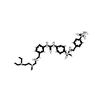 CCN(CC)CCN(C)CNCc1cccc(NC(=O)Nc2ccc([SH](C)(=O)NCc3ccc(S(N)(=O)=O)cc3)cc2)c1